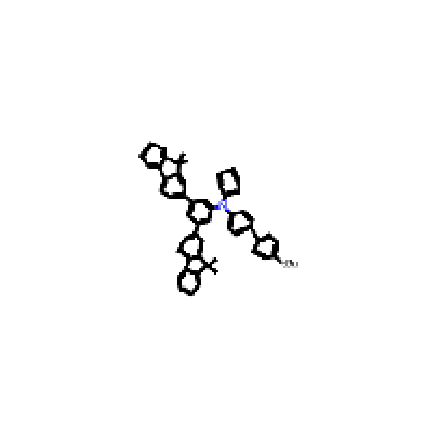 CC(C)(C)c1ccc(-c2ccc(N(c3ccccc3)c3cc(-c4ccc5c(c4)C(C)(C)c4ccccc4-5)cc(-c4ccc5c(c4)C(C)(C)c4ccccc4-5)c3)cc2)cc1